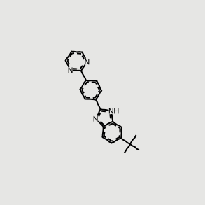 CC(C)(C)c1ccc2nc(-c3ccc(-c4ncccn4)cc3)[nH]c2c1